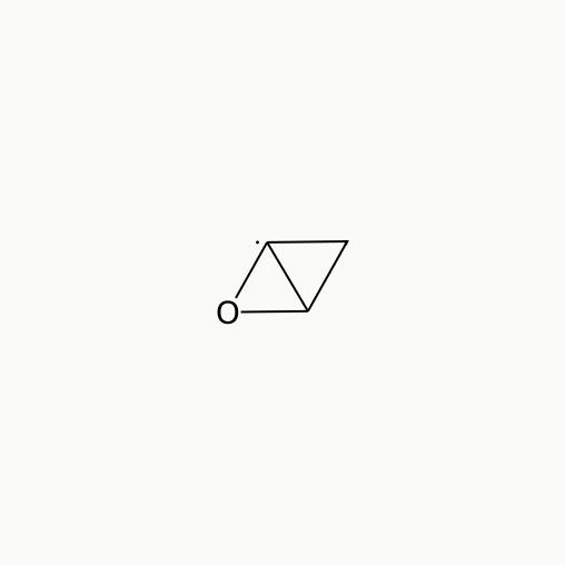 C1[C]2OC12